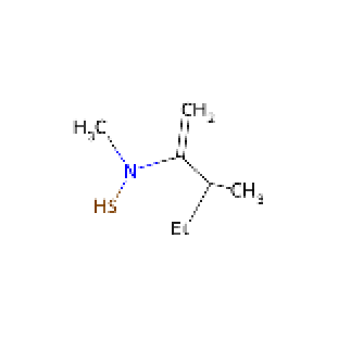 C=C(C(C)CC)N(C)S